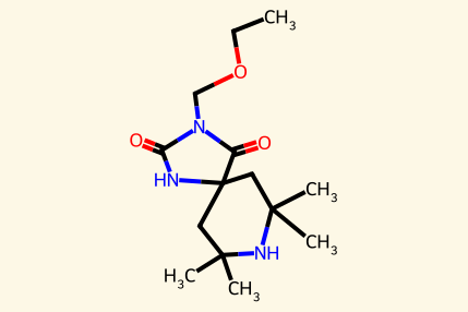 CCOCN1C(=O)NC2(CC(C)(C)NC(C)(C)C2)C1=O